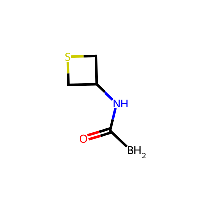 BC(=O)NC1CSC1